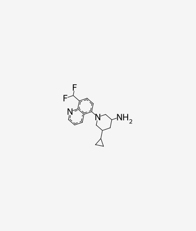 NC1CC(C2CC2)CN(c2ccc(C(F)F)c3ncccc23)C1